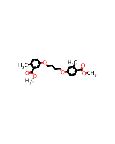 COC(=O)c1ccc(OCCCCOc2ccc(C)c(C(=O)OC)c2)cc1C